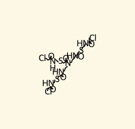 O=C(CCl)NCCSCC(=O)NCCCN(CCCNC(=O)CSCCNC(=O)CCl)C(=O)CSCCNC(=O)CCl